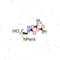 CCCCCS[C@@H](CNC(=O)O[C@@H](C)OC(=O)C(C)C)C(=O)O